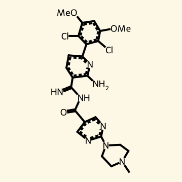 COc1cc(OC)c(Cl)c(-c2ccc(C(=N)NC(=O)c3cnc(N4CCN(C)CC4)nc3)c(N)n2)c1Cl